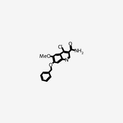 COc1cc2c(Cl)c(C(N)=O)cnc2cc1OCc1ccccc1